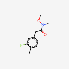 CON(C)C(=O)Cc1ccc(C)c(F)c1